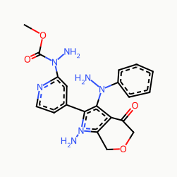 COC(=O)N(N)c1cc(-c2c(N(N)c3ccccc3)c3c(n2N)COCC3=O)ccn1